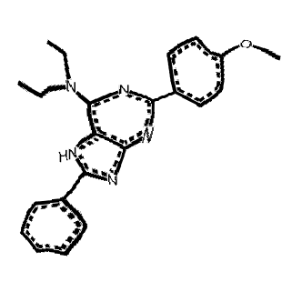 CCN(CC)c1nc(-c2ccc(OC)cc2)nc2nc(-c3ccccc3)[nH]c12